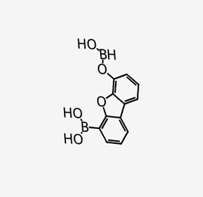 OBOc1cccc2c1oc1c(B(O)O)cccc12